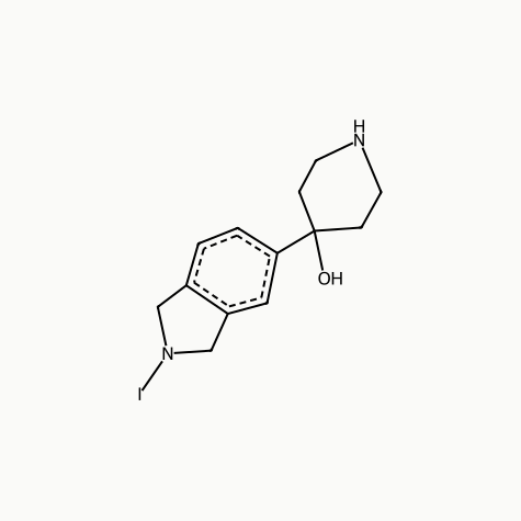 OC1(c2ccc3c(c2)CN(I)C3)CCNCC1